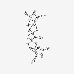 CC1(C(=O)C2(C)CC3C4C(=O)OC(=O)C4C4C3C42)CC2CC1C1C(=O)OC(=O)C21